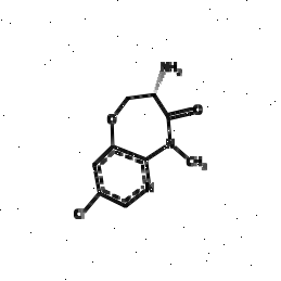 CN1C(=O)[C@@H](N)COc2cc(Cl)cnc21